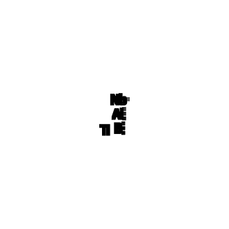 [Al].[B].[Nb].[Ti]